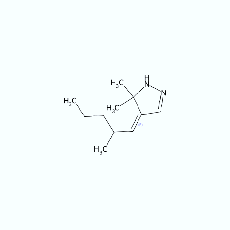 CCCC(C)/C=C1/C=NNC1(C)C